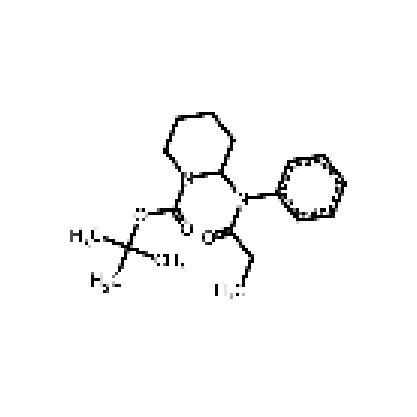 CCC(=O)N(c1ccccc1)C1CCCCN1C(=O)OC(C)(C)C